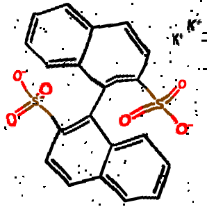 O=S(=O)([O-])c1ccc2ccccc2c1-c1c(S(=O)(=O)[O-])ccc2ccccc12.[K+].[K+]